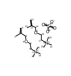 C=C(C)COCC[N+](C)(C)C.C=C(C)COCC[N+](C)(C)C.O=S(=O)([O-])[O-]